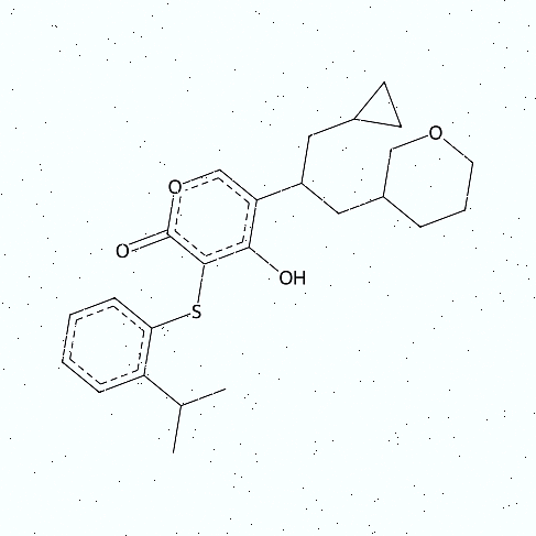 CC(C)c1ccccc1Sc1c(O)c(C(CC2CC2)CC2CCCOC2)coc1=O